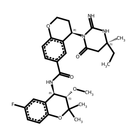 CC[C@@]1(C)CC(=O)N([C@@H]2CCOc3ccc(C(=O)N[C@@H]4c5cc(F)ccc5OC(C)(C)[C@H]4OC)cc32)C(=N)N1